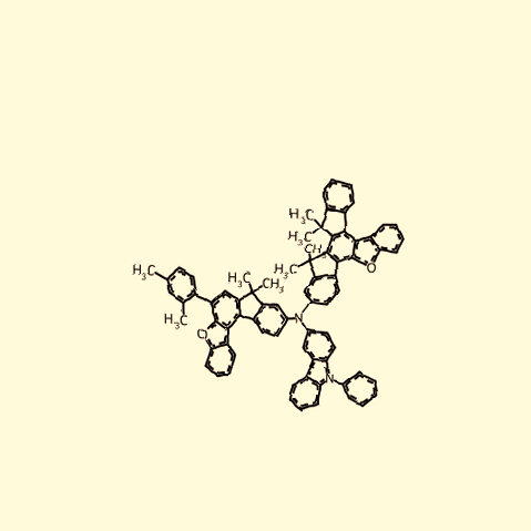 Cc1ccc(-c2cc3c(c4c2oc2ccccc24)-c2ccc(N(c4ccc5c(c4)C(C)(C)c4c6c(c7c(oc8ccccc87)c4-5)-c4ccccc4C6(C)C)c4ccc5c(c4)c4ccccc4n5-c4ccccc4)cc2C3(C)C)c(C)c1